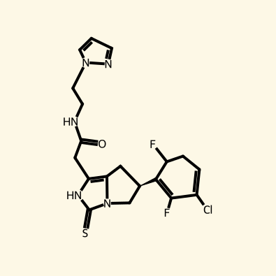 O=C(Cc1[nH]c(=S)n2c1C[C@@H](C1=C(F)C(Cl)=CCC1F)C2)NCCn1cccn1